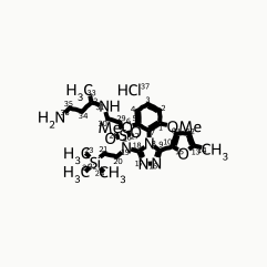 COc1cccc(OC)c1-n1c(-c2ccc(C)o2)nnc1N(CC[Si](C)(C)C)S(=O)(=O)CCNC(C)CCN.Cl